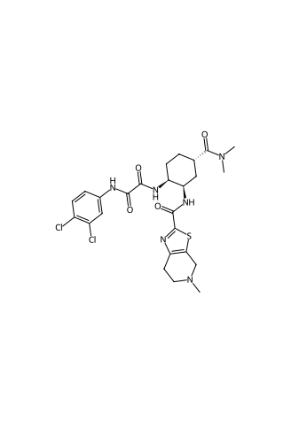 CN1CCc2nc(C(=O)N[C@@H]3C[C@@H](C(=O)N(C)C)CC[C@@H]3NC(=O)C(=O)Nc3ccc(Cl)c(Cl)c3)sc2C1